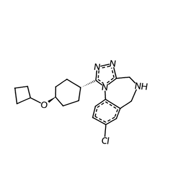 Clc1ccc2c(c1)CNCc1nnc([C@H]3CC[C@H](OC4CCC4)CC3)n1-2